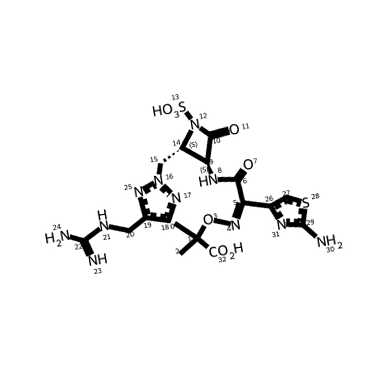 CC(C)(ON=C(C(=O)N[C@@H]1C(=O)N(S(=O)(=O)O)[C@H]1Cn1ncc(CNC(=N)N)n1)c1csc(N)n1)C(=O)O